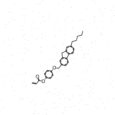 C=CC(=O)Oc1ccc(OCc2ccc3c(c2)Cc2cc(CCCCC)ccc2-3)cc1